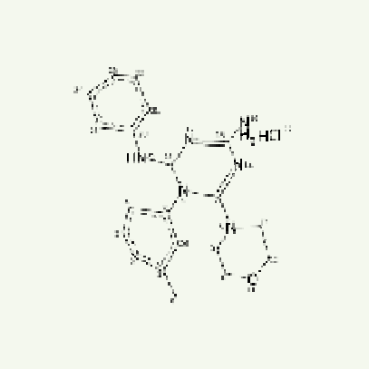 Cc1cccc(N2C(N3CCOCC3)=NC(N)=NC2Nc2ccccc2)c1.Cl